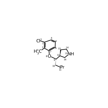 Cc1c(Cl)cccc1O[C@@H](CC(C)C)[C@H]1CCNC1